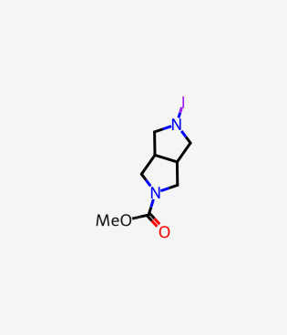 COC(=O)N1CC2CN(I)CC2C1